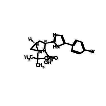 CC(C)(C)[C@@]12C[C@H]1C[C@@H](c1ncc(-c3ccc(Br)cc3)[nH]1)N2C(=O)O